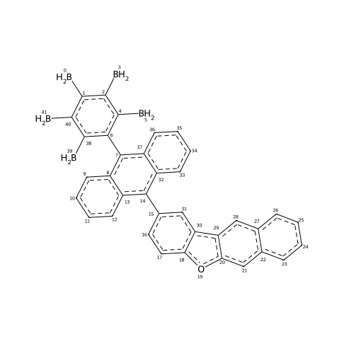 Bc1c(B)c(B)c(-c2c3ccccc3c(-c3ccc4oc5cc6ccccc6cc5c4c3)c3ccccc23)c(B)c1B